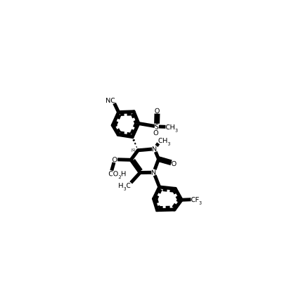 CC1=C(OC(=O)O)[C@H](c2ccc(C#N)cc2S(C)(=O)=O)N(C)C(=O)N1c1cccc(C(F)(F)F)c1